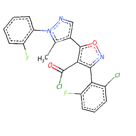 Cc1c(-c2onc(-c3c(F)cccc3Cl)c2C(=O)Cl)cnn1-c1ccccc1F